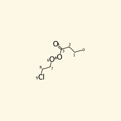 CCCC(=O)OOCCCl